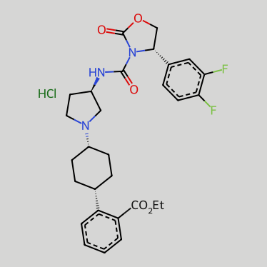 CCOC(=O)c1ccccc1[C@H]1CC[C@@H](N2CC[C@@H](NC(=O)N3C(=O)OC[C@@H]3c3ccc(F)c(F)c3)C2)CC1.Cl